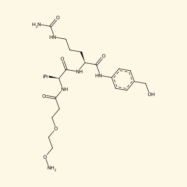 CC(C)[C@H](NC(=O)CCOCCON)C(=O)N[C@@H](CCCNC(N)=O)C(=O)Nc1ccc(CO)cc1